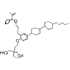 C=C(C)C(=O)OCCCc1cc(C2CCC(C3CCC(CCCCC)CC3)CC2)ccc1OCCC(CC)(CO)CO